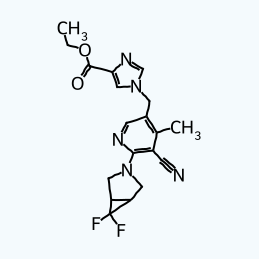 CCOC(=O)c1cn(Cc2cnc(N3CC4C(C3)C4(F)F)c(C#N)c2C)cn1